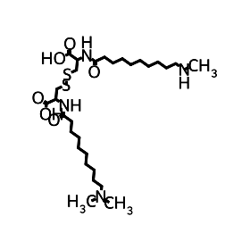 CNCCCCCCCCCC(=O)NC(CSSCC(NC(=O)CCCCCCCCCN(C)C)C(=O)O)C(=O)O